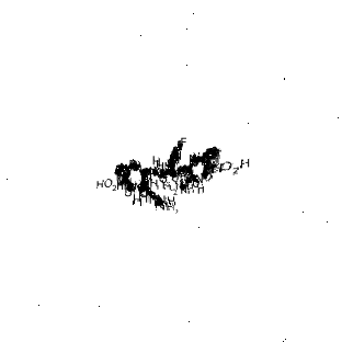 N=C(N)NCCC[C@@H]1NC(=O)[C@H](CCCCNC(=O)CC[C@H](NC(=O)Cn2cc(CCCF)nn2)C(=O)NCCCC[C@H]2C(=O)N[C@@H](CCCNC(=N)N)C(=O)NCC(=O)N[C@@H](CC(=O)O)C(=O)N[C@@H](Cc3ccccc3)c3cn2nn3)n2cc(nn2)[C@H](Cc2ccccc2)NC(=O)[C@H](CC(=O)O)NC(=O)CNC1=O